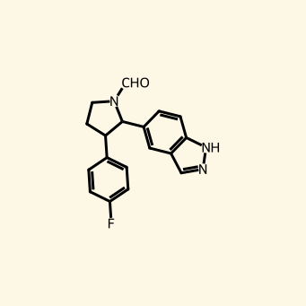 O=CN1CCC(c2ccc(F)cc2)C1c1ccc2[nH]ncc2c1